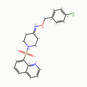 O=S(=O)(c1cccc2cccnc12)N1CCC(=NOCc2ccc(Cl)cc2)CC1